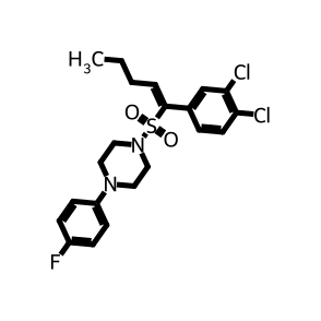 CCCC=C(c1ccc(Cl)c(Cl)c1)S(=O)(=O)N1CCN(c2ccc(F)cc2)CC1